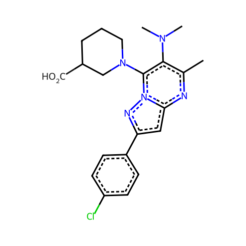 Cc1nc2cc(-c3ccc(Cl)cc3)nn2c(N2CCCC(C(=O)O)C2)c1N(C)C